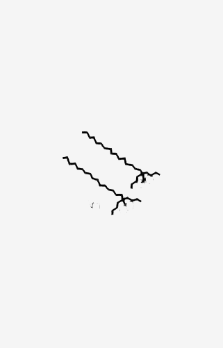 CCCCCCCCCCCCCCCCC(CCCC)(CCCC)C(=O)[O-].CCCCCCCCCCCCCCCCC(CCCC)(CCCC)C(=O)[O-].[O]=[V+2]